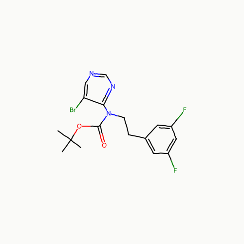 CC(C)(C)OC(=O)N(CCc1cc(F)cc(F)c1)c1ncncc1Br